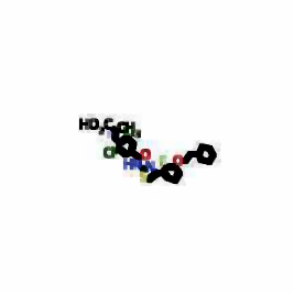 C/C(=C\c1c(Cl)cc(C(=O)Nc2nc(-c3cccc(OCCC4CCCCC4)c3F)cs2)cc1Cl)C(=O)O